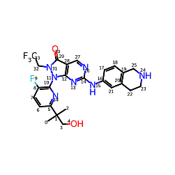 CC(C)(CO)c1ccc(F)c(-n2c3nc(Nc4ccc5c(c4)CCNC5)ncc3c(=O)n2CC(F)(F)F)n1